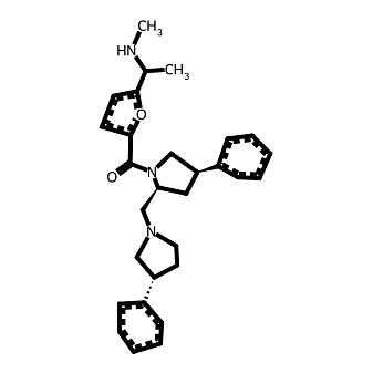 CNC(C)c1ccc(C(=O)N2C[C@@H](c3ccccc3)C[C@H]2CN2CC[C@H](c3ccccc3)C2)o1